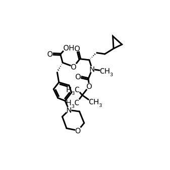 CN(C(=O)OC(C)(C)C)[C@@H](CCC1CC1)C(=O)O[C@H](Cc1ccc(N2CCOCC2)cc1)C(=O)O